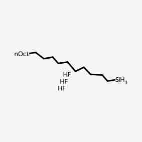 CCCCCCCCCCCCCCCCCC[SiH3].F.F.F